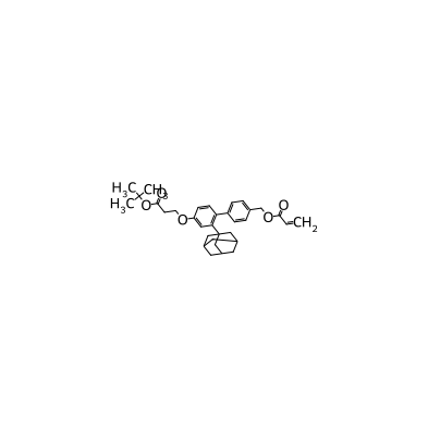 C=CC(=O)OCc1ccc(-c2ccc(OCCC(=O)OC(C)(C)C)cc2C23CC4CC(CC(C4)C2)C3)cc1